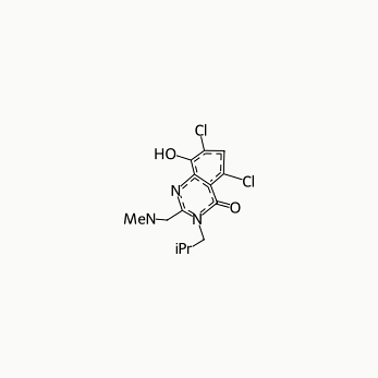 CNCc1nc2c(O)c(Cl)cc(Cl)c2c(=O)n1CC(C)C